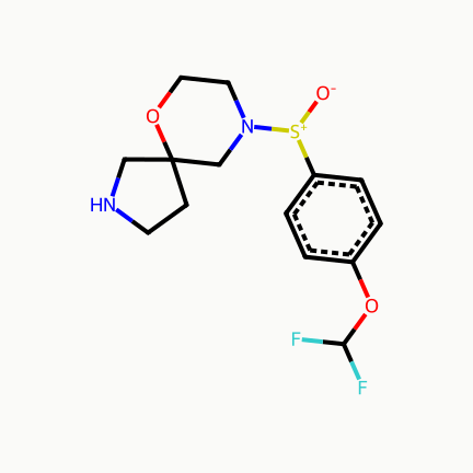 [O-][S+](c1ccc(OC(F)F)cc1)N1CCOC2(CCNC2)C1